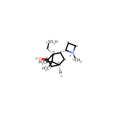 CC1(C)[C@H]2CC[C@]1(CS(=O)(=O)O)C(=O)C2.CN1CCC1